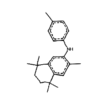 Cc1ccc(Nc2cc3c(cc2C)C(C)(C)CCC3(C)C)cc1